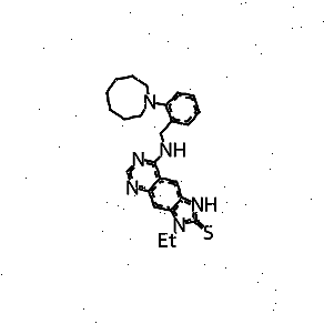 CCn1c(=S)[nH]c2cc3c(NCc4ccccc4N4CCCCCCC4)ncnc3cc21